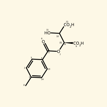 Cc1ccc(C(=O)O[C@H](C(=O)O)C(O)C(=O)O)cc1